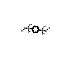 CCO[Si](c1ccc([Si](OCC)(C(C)C)C(C)C)cc1)(C(C)C)C(C)C